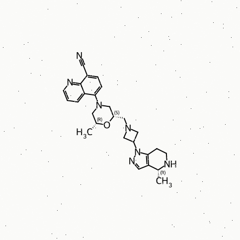 C[C@@H]1CN(c2ccc(C#N)c3ncccc23)C[C@H](CN2CC(n3ncc4c3CCN[C@@H]4C)C2)O1